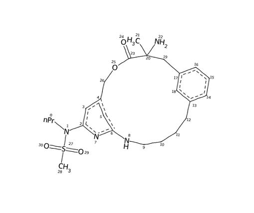 CCCN(c1cc2cc(n1)NCCCCc1cccc(c1)CC(C)(N)C(=O)OC2)S(C)(=O)=O